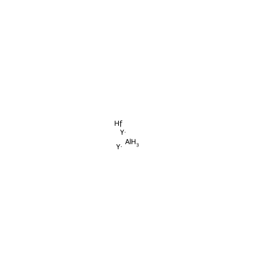 [AlH3].[Hf].[Y].[Y]